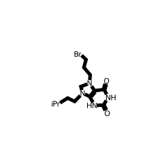 CC(C)CCN1CN(CCCBr)c2c1[nH]c(=O)[nH]c2=O